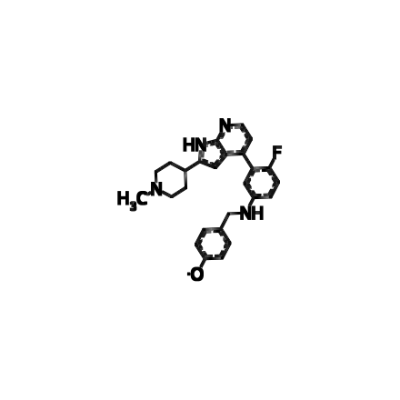 CN1CCC(c2cc3c(-c4cc(NCc5ccc([O])cc5)ccc4F)ccnc3[nH]2)CC1